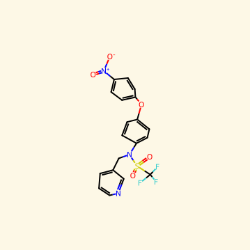 O=[N+]([O-])c1ccc(Oc2ccc(N(Cc3cccnc3)S(=O)(=O)C(F)(F)F)cc2)cc1